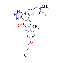 CN(C)Cc1ccc(C2=C(c3nnn[nH]3)C(=O)N[C@@](c3ccc(OCCCC(F)(F)F)cc3)(C(F)(F)F)C2)s1